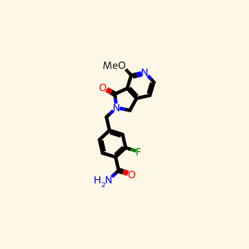 COc1nccc2c1C(=O)N(Cc1ccc(C(N)=O)c(F)c1)C2